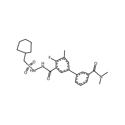 Cc1cc(-c2cccc(C(=O)N(C)C)c2)cc(C(=O)NNS(=O)(=O)CC2CCCCC2)c1F